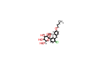 CCCCOc1ccc(Cc2cc([C@]3(OC)O[C@H](CO)[C@@H](O)[C@H](O)[C@H]3O)ccc2Cl)cc1